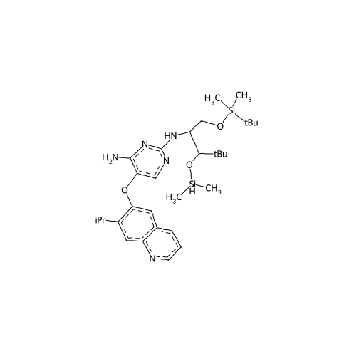 CC(C)c1cc2ncccc2cc1Oc1cnc(NC(CO[Si](C)(C)C(C)(C)C)C(O[SiH](C)C)C(C)(C)C)nc1N